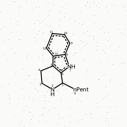 CCCCCC1NCCc2c1[nH]c1ccccc21